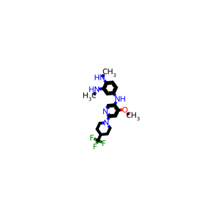 CNc1ccc(Nc2cnc(N3CCC(C(F)(F)F)CC3)cc2OC)cc1NC